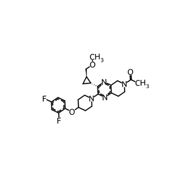 COC[C@@H]1C[C@H]1c1nc2c(nc1N1CCC(Oc3ccc(F)cc3F)CC1)CCN(C(C)=O)C2